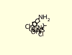 CC(C)c1nnc(Cl)s1.NC1Cc2cc(Cl)c(S(=O)(=O)O)cc2C1